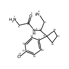 CC(C)CC(NC(=O)CN)C1(c2ccc(Cl)cc2)CCC1